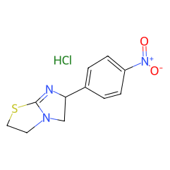 Cl.O=[N+]([O-])c1ccc(C2CN3CCSC3=N2)cc1